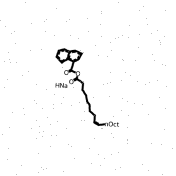 CCCCCCCC/C=C\CCCCCCCC(=O)OC(=O)c1cccc2ccccc12.[NaH]